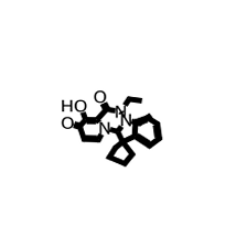 CCN1C(=O)c2c(O)c(=O)ccn2C(C2(c3ccccc3)CCCC2)N1CC